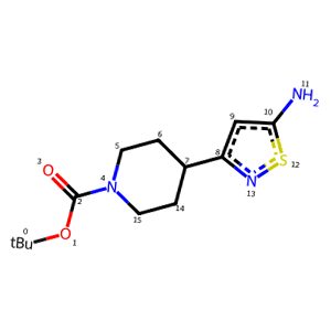 CC(C)(C)OC(=O)N1CCC(c2cc(N)sn2)CC1